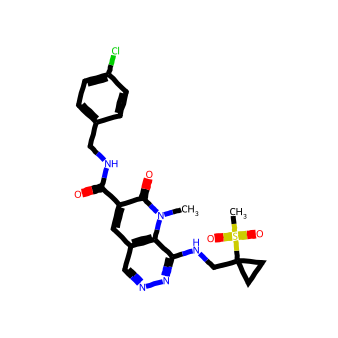 Cn1c(=O)c(C(=O)NCc2ccc(Cl)cc2)cc2cnnc(NCC3(S(C)(=O)=O)CC3)c21